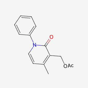 CC(=O)OCc1c(C)ccn(-c2ccccc2)c1=O